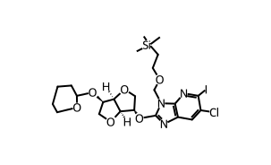 C[Si](C)(C)CCOCn1c(O[C@@H]2CO[C@H]3[C@@H]2OC[C@H]3OC2CCCCO2)nc2cc(Cl)c(I)nc21